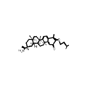 C=C(N)[C@]1(C)CC[C@]2(C)CC[C@]3(C)C4=CC=C5C(=CC(=O)C(OCC=C(C)C)=C5C)[C@]4(C)CC[C@@]3(C)[C@@H]2C1